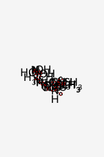 CC(C)C[C@H](NC(=O)[C@H](CCc1ccccc1)NC(=O)Cc1ccc(OC(=O)N2CCC(N3CCN(Cc4ccc(-n5c(O)nnc5-c5cc(C(C)C)c(O)cc5O)cc4)CC3)CC2)cc1)C(=O)N[C@@H](Cc1ccccc1)C(=O)N[C@@H](CC(C)C)C(=O)[C@@]1(C)CO1